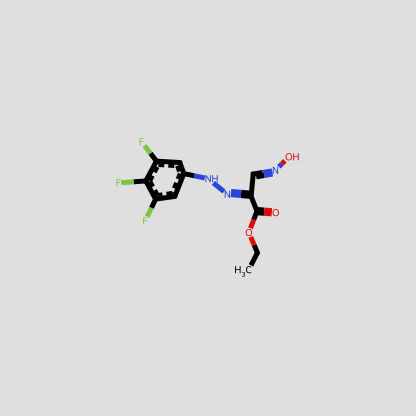 CCOC(=O)C(/C=N/O)=N/Nc1cc(F)c(F)c(F)c1